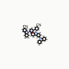 N#Cc1ccc(-n2c3ccccc3c3cc(-n4c5ccccc5c5ccccc54)ccc32)c(-c2ccc(-n3c4ccccc4c4ccc(C#N)cc43)cc2)c1